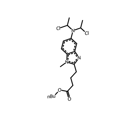 CCCCOC(=O)CCCc1nc2cc(N(C(C)Cl)C(C)Cl)ccc2n1C